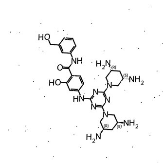 N[C@@H]1C[C@H](N)CN(c2nc(Nc3ccc(C(=O)Nc4cccc(CO)c4)c(O)c3)nc(N3C[C@H](N)C[C@H](N)C3)n2)C1